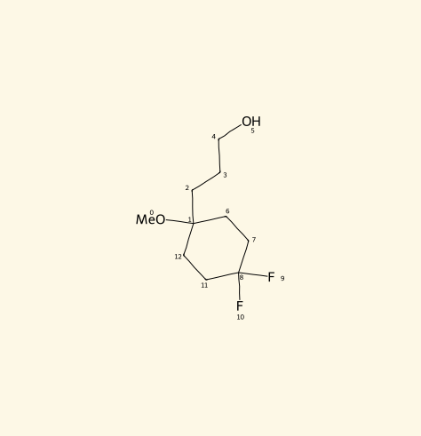 COC1(CCCO)CCC(F)(F)CC1